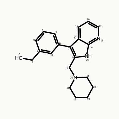 OCc1cccc(-c2c(CN3CCCCC3)[nH]c3ncccc23)c1